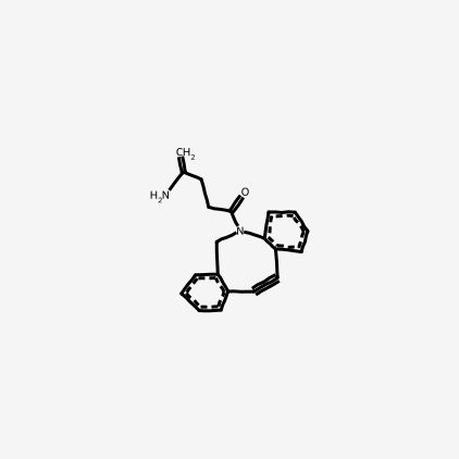 C=C(N)CCC(=O)N1Cc2ccccc2C#Cc2ccccc21